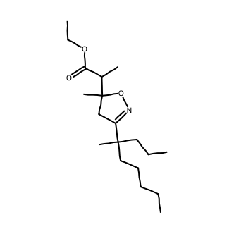 CCCCCC(C)(CCC)C1=NOC(C)(C(C)C(=O)OCC)C1